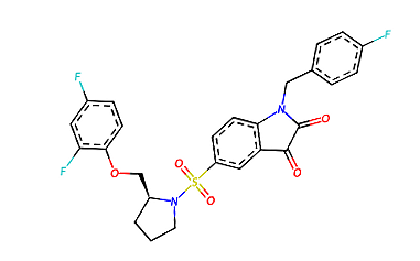 O=C1C(=O)N(Cc2ccc(F)cc2)c2ccc(S(=O)(=O)N3CCC[C@H]3COc3ccc(F)cc3F)cc21